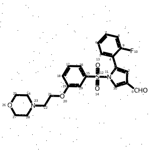 O=Cc1cc(-c2ccccc2F)n(S(=O)(=O)c2cccc(OCCN3CCOCC3)c2)c1